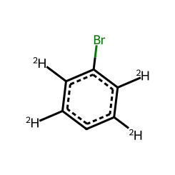 [2H]c1cc([2H])c([2H])c(Br)c1[2H]